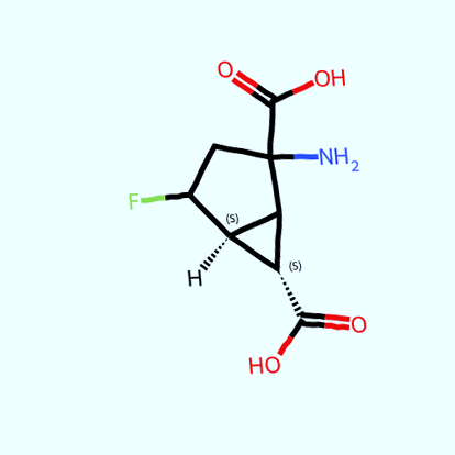 NC1(C(=O)O)CC(F)[C@H]2C1[C@@H]2C(=O)O